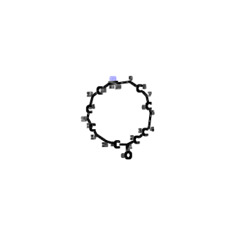 O=C1CCCCCCCC/C=C\CCCCCCCC1